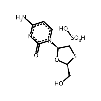 Nc1ccn([C@H]2CS[C@@H](CO)O2)c(=O)n1.O=S(=O)(O)O